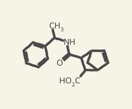 CC(NC(=O)C1C2C=CC(C2)C1C(=O)O)c1ccccc1